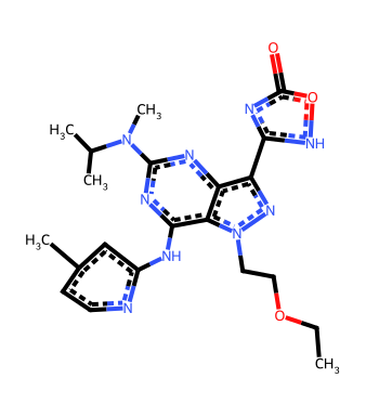 CCOCCn1nc(-c2nc(=O)o[nH]2)c2nc(N(C)C(C)C)nc(Nc3cc(C)ccn3)c21